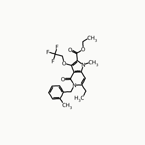 CCOC(=O)c1c(OCC(F)(F)F)c2c(=O)n(Cc3ccccc3C)c(CC)cc2n1C